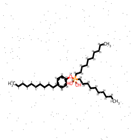 CCCCCCCCCCc1ccc(OP(O)(O)(CCCCCCCCCC)CCCCCCCCCC)cc1